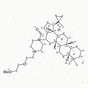 COCCOCCN1CCN(C(=O)[C@]23CC[C@@H](C4(C)CC4)[C@@H]2[C@H]2CC[C@@H]4[C@@]5(C)CC[C@H](C)C(C)(C)[C@@H]5CC[C@@]4(C)[C@]2(C)CC3)CC1